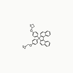 c1ccc2c3c(ccc2c1)C(c1ccc(OCC2CS2)cc1)(c1ccc(OC2CCS2)cc1)c1ccc2ccccc2c1-3